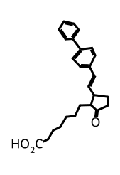 O=C(O)CCCCCCC1C(=O)CCC1C=Cc1ccc(-c2ccccc2)cc1